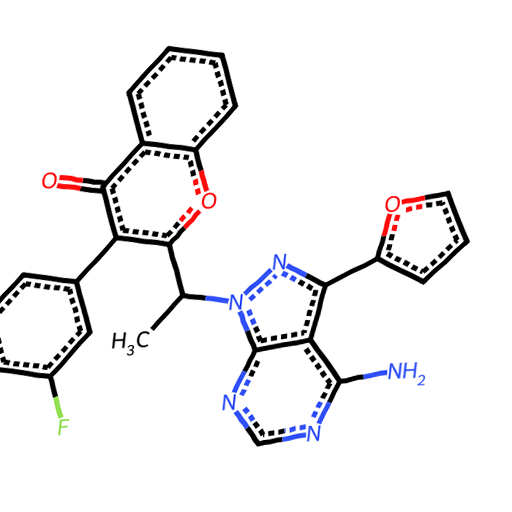 CC(c1oc2ccccc2c(=O)c1-c1cccc(F)c1)n1nc(-c2ccco2)c2c(N)ncnc21